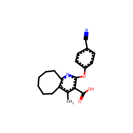 Cc1c2c(nc(Oc3ccc(C#N)cc3)c1C(=O)O)CCCCCC2